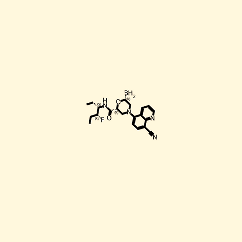 B[C@@H]1CN(c2ccc(C#N)c3ncccc23)C[C@H](C(=O)N[C@@H](CC)[C@H](F)CC)O1